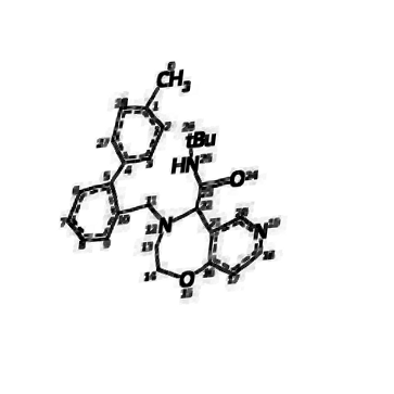 Cc1ccc(-c2ccccc2CN2CCOc3ccncc3C2C(=O)NC(C)(C)C)cc1